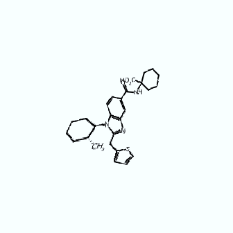 C[C@@H]1CCCC[C@H]1n1c(Cc2cccs2)nc2cc(C(=O)NC3(C(=O)O)CCCCC3)ccc21